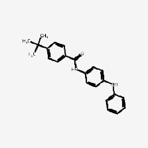 CC(C)(C)c1ccc(C(=O)Nc2ccc(Nc3ccccc3)cc2)cc1